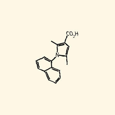 Cc1cc(C(=O)O)c(C)n1-c1cccc2ccccc12